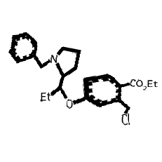 CCOC(=O)c1ccc(OC(CC)C2CCCN2Cc2ccccc2)cc1CCl